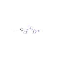 COc1cc(F)cc(-c2nccc3[nH]c(-c4n[nH]c5ccc(-c6cncc(N7CC(N)C7)n6)nc45)nc23)c1